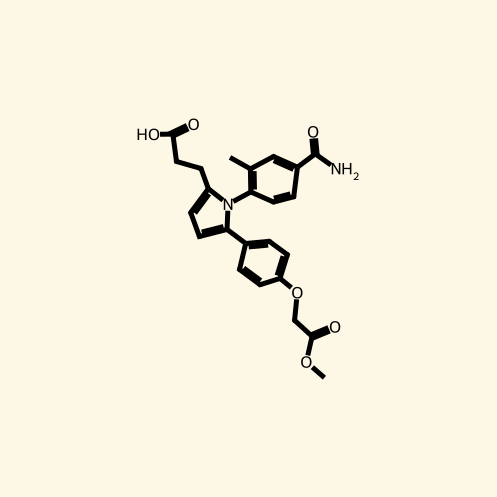 COC(=O)COc1ccc(-c2ccc(CCC(=O)O)n2-c2ccc(C(N)=O)cc2C)cc1